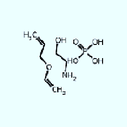 C=CCOC=C.NCCO.O=P(O)(O)O